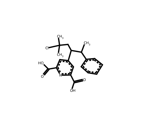 CC(c1ccccc1)C(CC(C)(C)Cl)c1cc(C(=O)O)nc(C(=O)O)c1